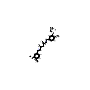 COc1cc(/C=C/C(=O)CC(=O)/C=C/c2ccc(O)c(OCN)c2)ccc1O